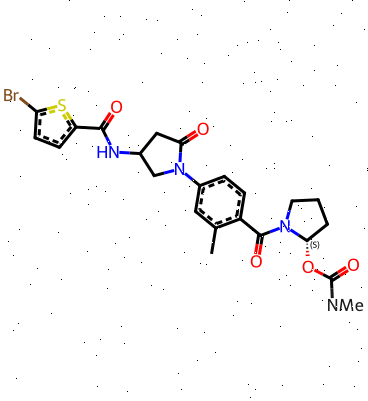 CNC(=O)O[C@H]1CCCN1C(=O)c1ccc(N2CC(NC(=O)c3ccc(Br)s3)CC2=O)cc1C